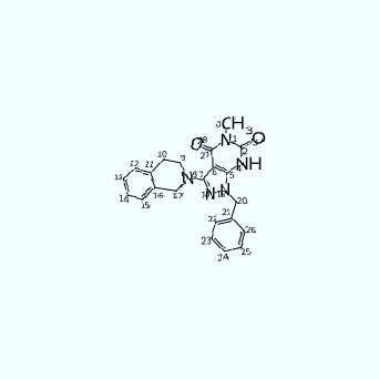 Cn1c(=O)[nH]c2c(c(N3CCc4ccccc4C3)nn2Cc2ccccc2)c1=O